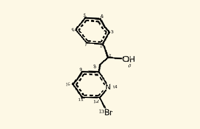 OC(c1ccccc1)c1cccc(Br)n1